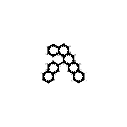 c1ccc2cc(-c3c4cc5ccccc5cc4cc4ccc5ccccc5c34)ccc2c1